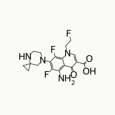 Nc1c(F)c(N2CCNC3(CC3)C2)c(F)c2c1c(=O)c(C(=O)O)cn2CCF